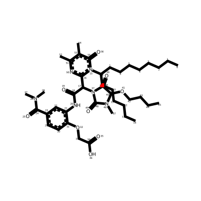 CCCCCCCCC(CCCCCC)n1c(C(C(=O)Nc2cc(C(=O)N(C)C)ccc2OCC(=O)O)N2C(=O)C(OCCCC)N(C)C2=O)nc(C)c(C)c1=O